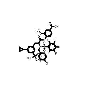 COc1cc(C(=O)O)ccc1NC(=O)C(Cc1cc(C2CC2)cc(C(C)(C)C)c1)N(Cc1ccc(Cl)cc1)S(=O)(=O)c1c(F)c(F)c(F)c(F)c1F